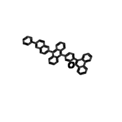 c1ccc(-c2ccc3cc(-c4c5ccccc5c(-c5ccc6c(c5)oc5c7ccccc7c7ccccc7c65)c5ccccc45)ccc3c2)cc1